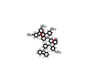 CC(C)(C)c1ccc(N(c2cc(Cl)cc(N(c3cccc(-n4c5ccc(C(C)(C)C)cc5c5cc(C(C)(C)C)ccc54)c3)c3ccc(C(C)(C)C)cc3-c3ccccc3)c2)c2cccc(-n3c4ccccc4c4ccccc43)c2)c(-c2ccccc2)c1